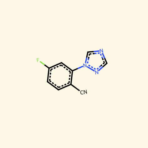 N#Cc1ccc(F)cc1-n1cncn1